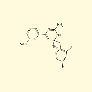 COc1cccc(C2=CC(N)(Cc3ccc(F)cc3F)NC(N)=N2)c1